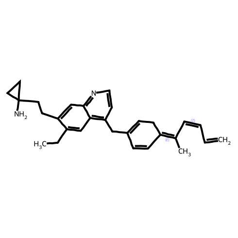 C=C/C=C\C(C)=C1\C=CC(Cc2ccnc3cc(CCC4(N)CC4)c(CC)cc23)=CC1